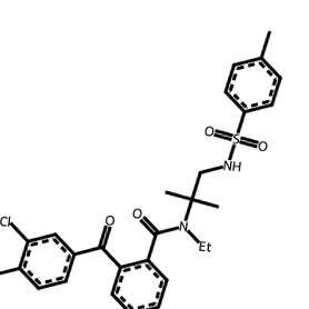 CCN(C(=O)c1ccccc1C(=O)c1ccc(Cl)c(Cl)c1)C(C)(C)CNS(=O)(=O)c1ccc(C)cc1